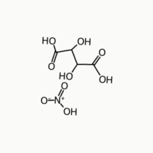 O=C(O)C(O)C(O)C(=O)O.O=[N+]([O-])O